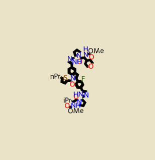 CCCc1ccc(C2Oc3cc(-c4cnc([C@@H]5CCCN5C(=O)[C@@H](NC(=O)OC)C(C)C)[nH]4)cc(F)c3-c3cc4cc(-c5cnc([C@@H]6CCCN6C(=O)[C@@H](NC(=O)OC)C6CCOCC6)[nH]5)ccc4n32)s1